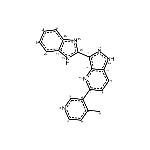 Cc1ccncc1-c1ccc2[nH]nc(-c3nc4ccccc4[nH]3)c2n1